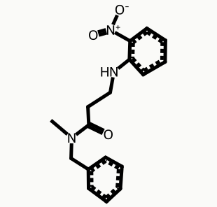 CN(Cc1ccccc1)C(=O)CCNc1ccccc1[N+](=O)[O-]